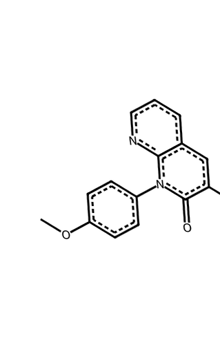 COc1ccc(-n2c(=O)c(C=O)cc3cccnc32)cc1